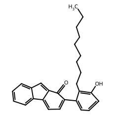 CCCCCCCCCc1c(O)cccc1C1=CC=C2C(=Cc3ccccc32)C1=O